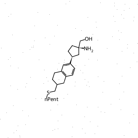 CCCCCSCC1CCc2cc([C@H]3CC[C@](N)(CO)C3)ccc2C1